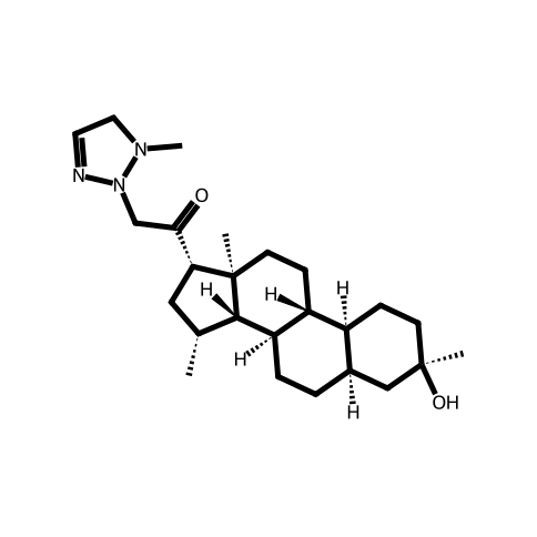 C[C@@H]1C[C@H](C(=O)CN2N=CCN2C)[C@@]2(C)CC[C@H]3[C@@H](CC[C@@H]4C[C@](C)(O)CC[C@@H]43)[C@H]12